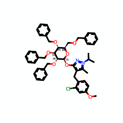 COc1ccc(Cc2c(O[C@@H]3O[C@H](COCc4ccccc4)[C@@H](OCc4ccccc4)[C@H](OCc4ccccc4)[C@H]3OCc3ccccc3)nn(C(C)C)c2C)c(Cl)c1